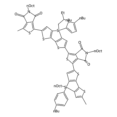 CCCCCCCCN1C(=O)c2c(C)sc(-c3cc4c(s3)-c3sc(-c5sc(-c6cc7c(s6)-c6sc(C)cc6[Si]7(CCCCCCCC)c6ccc(CCCC)cc6)c6c5C(=O)N(CCCCCCCC)C6=O)cc3[Si]4(CC(CC)CCCC)c3ccc(CCCC)s3)c2C1=O